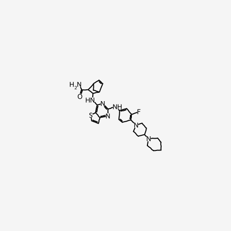 NC(=O)C1C2C=CC(C2)C1Nc1nc(Nc2ccc(N3CCC(N4CCCCC4)CC3)c(F)c2)nc2ccsc12